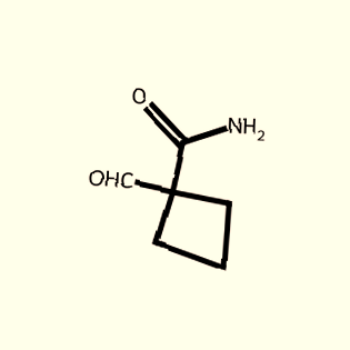 NC(=O)C1(C=O)CCC1